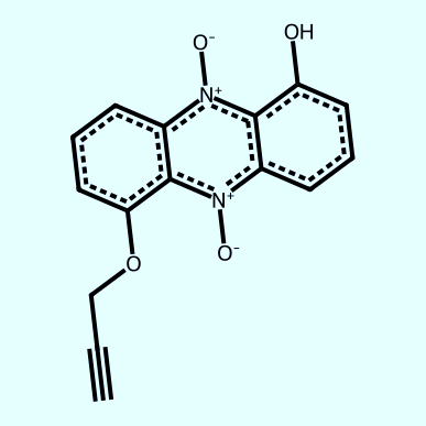 C#CCOc1cccc2c1[n+]([O-])c1cccc(O)c1[n+]2[O-]